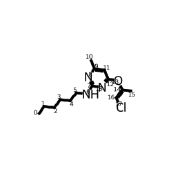 CCCCCCNc1nc(C)cc(OC(C)=CCl)n1